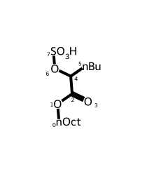 CCCCCCCCOC(=O)C(CCCC)OS(=O)(=O)O